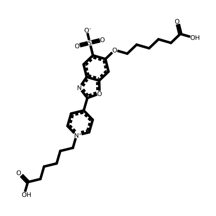 O=C(O)CCCCCOc1cc2oc(-c3cc[n+](CCCCCC(=O)O)cc3)nc2cc1S(=O)(=O)[O-]